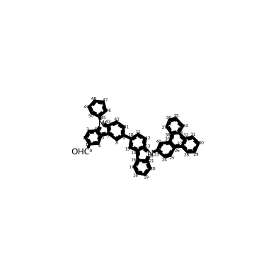 O=Cc1ccc2c(c1)c1cc(-c3ccc4c(c3)c3ccccc3n4-c3ccc4c5ccccc5c5ccccc5c4c3)ccc1n2-c1ccccc1